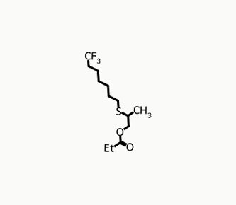 CCC(=O)OCC(C)SCCCCCCC(F)(F)F